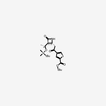 C[C@@H](O[Si](C)(C)C(C)(C)C)[C@H]1C(=O)N[C@@H]1CC(=O)c1csc(C(=O)OC(C)(C)C)c1